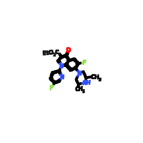 CCOC(=O)c1cn(-c2ccc(F)cn2)c2cc(N3CC(C)NC(C)C3)c(F)cc2c1=O